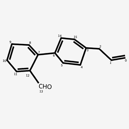 C=CCc1ccc(-c2ccccc2C=O)cc1